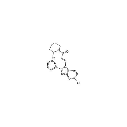 CCC1CCCCN1C(=O)C=Cc1c(-c2ccccc2)nn2cc(Cl)ccc12